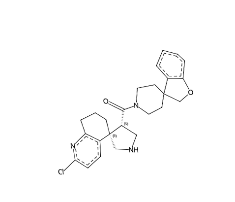 O=C([C@@H]1CNC[C@]12CCCc1nc(Cl)ccc12)N1CCC2(CC1)COc1ccccc12